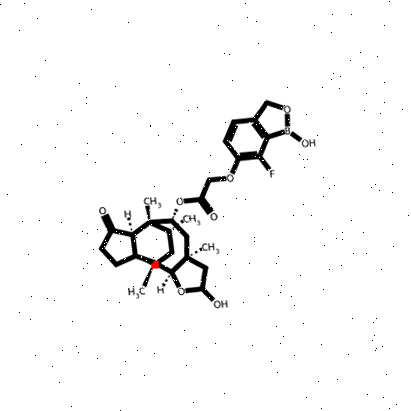 C[C@@H]1CC[C@@]23CCC(=O)[C@H]2[C@]1(C)[C@H](OC(=O)COc1ccc2c(c1F)B(O)OC2)C[C@@]1(C)CC(O)O[C@H]1[C@@H]3C